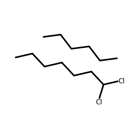 CCCCCC.CCCCCCC(Cl)Cl